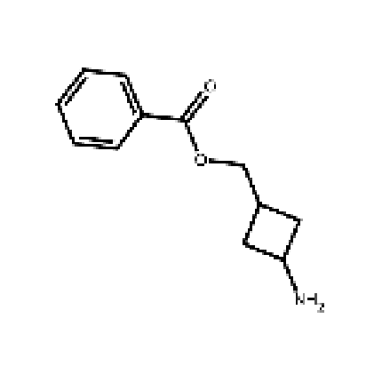 NC1CC(COC(=O)c2ccccc2)C1